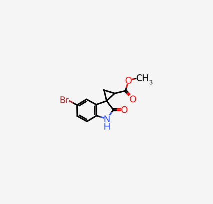 COC(=O)C1CC12C(=O)Nc1ccc(Br)cc12